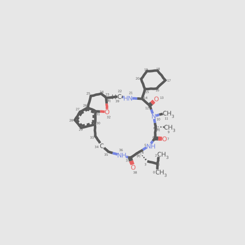 CC(C)C[C@H]1NC(=O)[C@@H](C)N(C)C(=O)C(C2CCCCC2)NC[C@H]2CCc3cccc(c3O2)CCCNC1=O